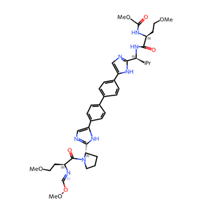 COCC[C@H](/N=C/OOC)C(=O)N1CCC[C@H]1c1ncc(-c2ccc(-c3ccc(-c4cnc([C@@H](NC(=O)[C@H](CCOC)NC(=O)OC)C(C)C)[nH]4)cc3)cc2)[nH]1